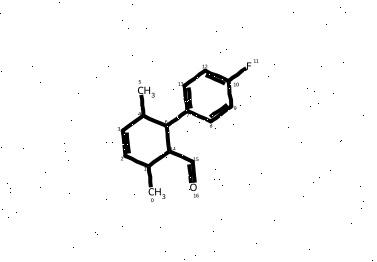 CC1C=CC(C)C(c2ccc(F)cc2)C1C=O